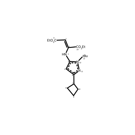 CCOC(=O)/C=C(\Nc1cc(C2CCC2)nn1C(C)(C)C)C(=O)OCC